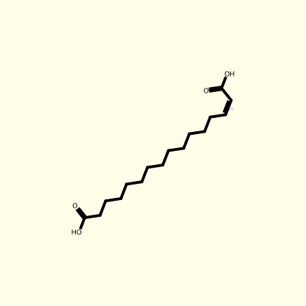 O=C(O)/C=C\CCCCCCCCCCCCC(=O)O